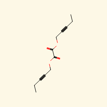 CCC#CCOC(=O)C(=O)OCC#CCC